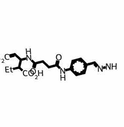 C=CC(NC(=O)CCC(=O)Nc1ccc(C=NN)cc1)C(CC)C(=O)O